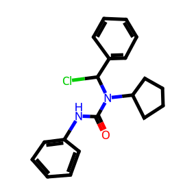 O=C(Nc1ccccc1)N(C1CCCC1)C(Cl)c1ccccc1